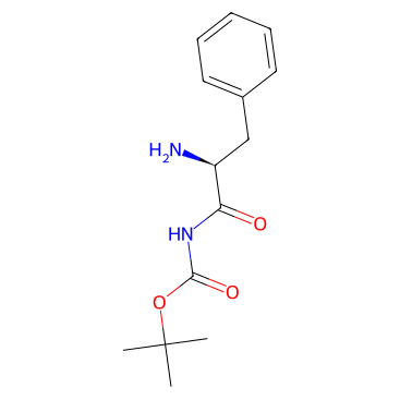 CC(C)(C)OC(=O)NC(=O)[C@@H](N)Cc1ccccc1